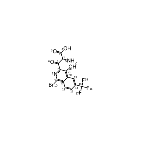 NC(C(=O)O)C(=O)c1nc(Br)c2ccc(C(F)(F)F)cc2c1O